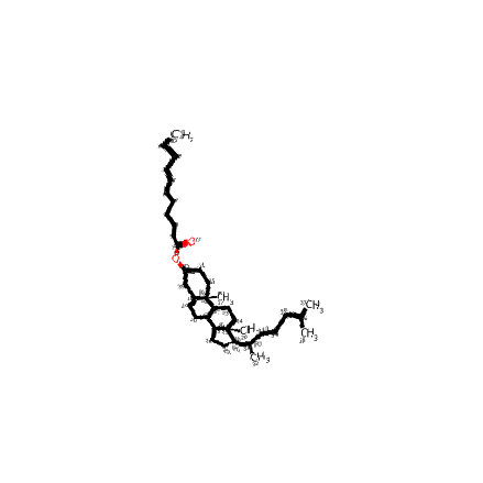 CCCCCCCCCCC(=O)OC1CC[C@@]2(C)C(=CCC3C2CC[C@@]2(C)C3CC[C@@H]2[C@H](C)CCCC(C)C)C1